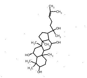 CC(C)=CCCC(C)(O)C1CCC2(C)C1C(O)CC1C3(C)CCC(O)C(C)(C)C3[C@@H](O)CC12C